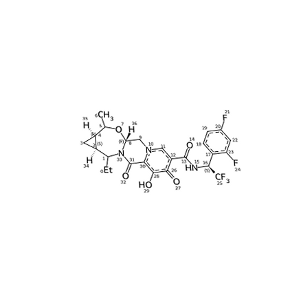 CCC1[C@H]2C[C@H]2C(C)O[C@@H]2Cn3cc(C(=O)N[C@@H](c4ccc(F)cc4F)C(F)(F)F)c(=O)c(O)c3C(=O)N12